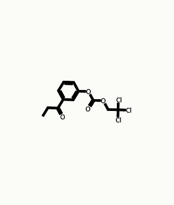 CCC(=O)c1cccc(OC(=O)OCC(Cl)(Cl)Cl)c1